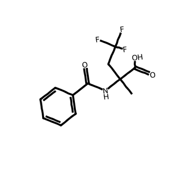 CC(CC(F)(F)F)(NC(=O)c1ccccc1)C(=O)O